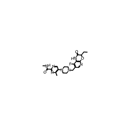 CCC1Oc2ncc(CN3CCN(c4cnc(C(=O)NC)nc4C)CC3)c(F)c2NC1=O